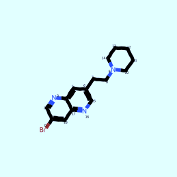 Brc1cnc2cc(CCN3CCCCC3)cnc2c1